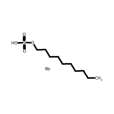 CCCCCCCCCCOS(=O)(=O)O.[Rb]